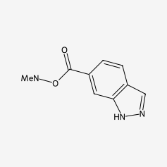 CNOC(=O)c1ccc2cn[nH]c2c1